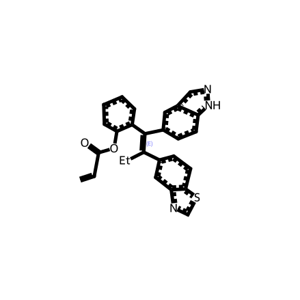 C=CC(=O)Oc1ccccc1/C(=C(\CC)c1ccc2scnc2c1)c1ccc2[nH]ncc2c1